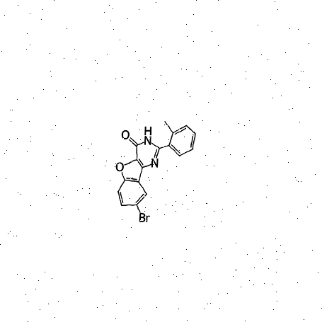 Cc1ccccc1-c1nc2c(oc3ccc(Br)cc32)c(=O)[nH]1